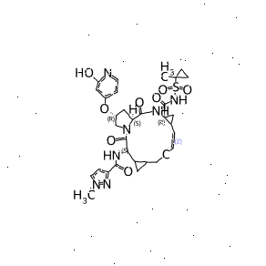 Cn1ccc(C(=O)N[C@@H]2C(=O)N3C[C@H](Oc4ccnc(O)c4)C[C@H]3C(=O)N[C@]3(C(=O)NS(=O)(=O)C4(C)CC4)CC3/C=C\CCC3CC32)n1